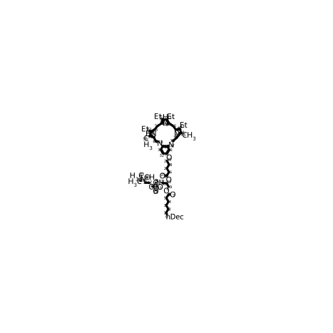 CCCCCCCCCCCCCCCC(=O)OCC(COP(=O)(O)OCC[N+](C)(C)C)OC(=O)CCCCOc1ccc2c(c1)/N=C/C1N3C(=C(CC)C13C)Cc1[nH]c(c(CC)c1CC)Cc1[nH]c(c(C)c1CC)/C=N/2